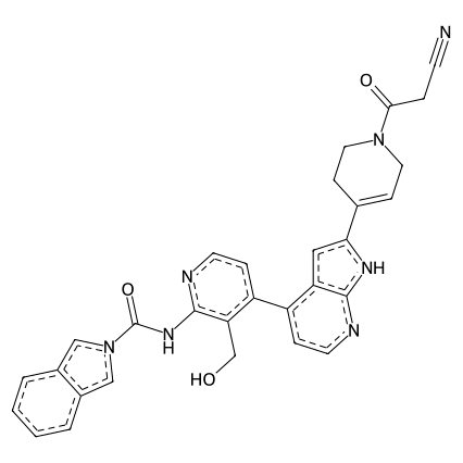 N#CCC(=O)N1CC=C(c2cc3c(-c4ccnc(NC(=O)n5cc6ccccc6c5)c4CO)ccnc3[nH]2)CC1